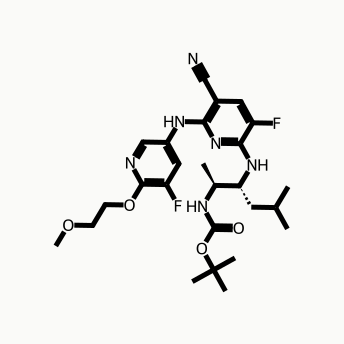 COCCOc1ncc(Nc2nc(N[C@H](CC(C)C)[C@H](C)NC(=O)OC(C)(C)C)c(F)cc2C#N)cc1F